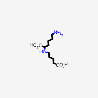 NCCCCC(NCCCCC(=O)O)C(=O)O